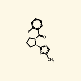 Cc1csc([C@H]2CCCN2C(=O)c2ccccc2I)n1